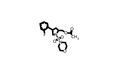 CC(=O)OCC1CC(c2ccccc2F)CN1S(=O)(=O)N1CCOCC1